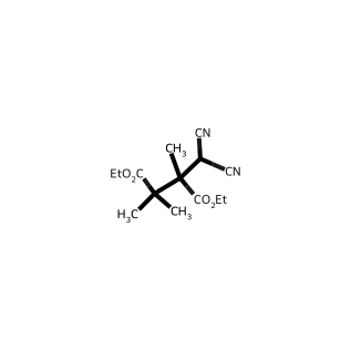 CCOC(=O)C(C)(C)C(C)(C(=O)OCC)C(C#N)C#N